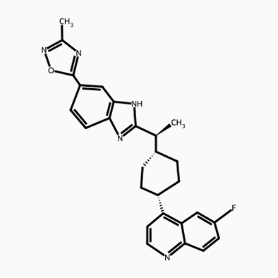 Cc1noc(-c2ccc3nc([C@@H](C)[C@H]4CC[C@@H](c5ccnc6ccc(F)cc65)CC4)[nH]c3c2)n1